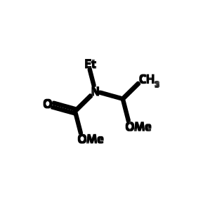 CCN(C(=O)OC)C(C)OC